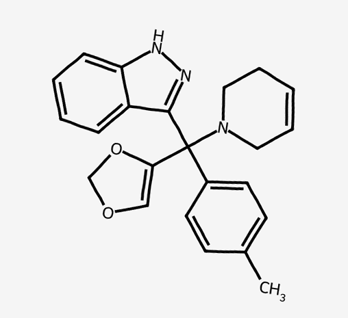 Cc1ccc(C(C2=COCO2)(c2n[nH]c3ccccc23)N2CC=CCC2)cc1